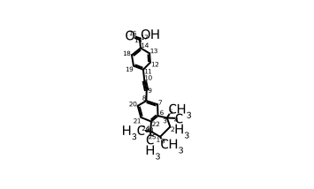 CC1CC(C)(C)c2cc(C#Cc3ccc(C(=O)O)cc3)ccc2C1(C)C